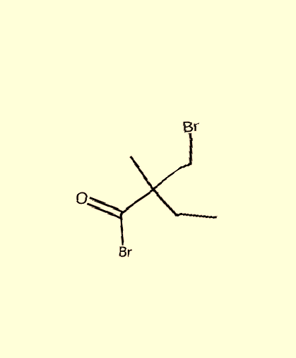 CCC(C)(CBr)C(=O)Br